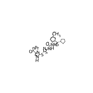 CCCC(=O)c1c[nH]c(Sc2cnc(NC(=O)Nc3ccc(C)cc3C(=O)C3CCCC3)s2)n1